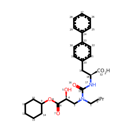 CC(C)CN(C[C@H](O)C(=O)OC1CCCCC1)C(=O)N[C@@H](Cc1ccc(-c2ccccc2)cc1)C(=O)O